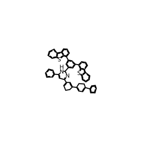 C1=C(C2=NC(c3cc(-c4cccc5c4sc4ccccc45)cc(-c4cccc5c4sc4ccccc45)c3)NC(c3ccccc3)=C2)C=C(C2=CC=C(c3ccccc3)CC2)CC1